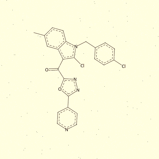 Cc1ccc2c(c1)c(C(=O)c1nnc(-c3ccncc3)o1)c(Cl)n2Cc1ccc(Cl)cc1